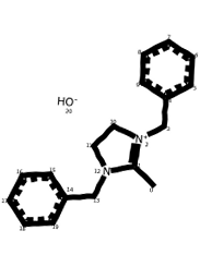 CC1=[N+](Cc2ccccc2)CCN1Cc1ccccc1.[OH-]